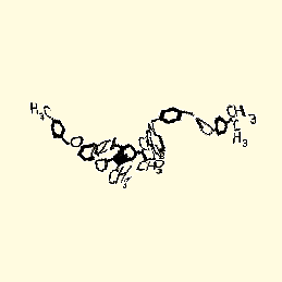 CC(C(=O)N1CCN(Cc2ccc(COc3ccc(C(C)C)cc3)cc2)CC1)=C(C)c1cc(C)c(Oc2ccc(OCc3ccc(C)cc3)cn2)c(Cl)c1